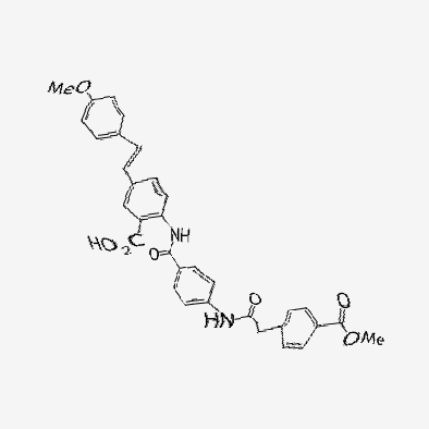 COC(=O)c1ccc(CC(=O)Nc2ccc(C(=O)Nc3ccc(C=Cc4ccc(OC)cc4)cc3C(=O)O)cc2)cc1